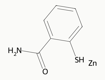 NC(=O)c1ccccc1S.[Zn]